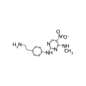 CNc1nc(Nc2ccc(CCN)cc2)ncc1[N+](=O)[O-]